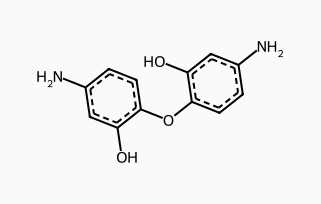 Nc1ccc(Oc2ccc(N)cc2O)c(O)c1